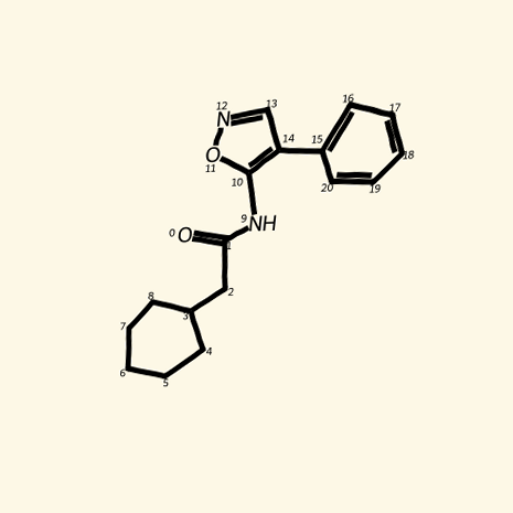 O=C(CC1CCCCC1)Nc1oncc1-c1ccccc1